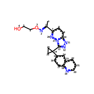 CC(=NOCCO)c1ccc2nnc(C3(c4ccc5ncccc5c4)CC3)n2n1